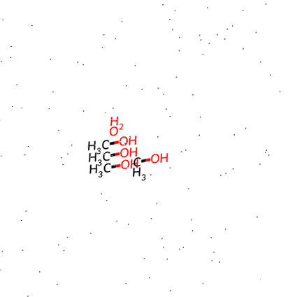 CO.CO.CO.CO.O